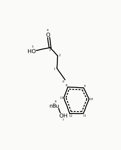 CCCC(=O)O.CCCCO.c1ccccc1